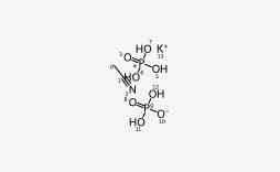 CC#N.O=P(O)(O)O.O=P([O-])(O)O.[K+]